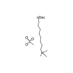 CCCCCCCCCCCCCCCCCC[N+](C)(C)C.CS(=O)(=O)[O-]